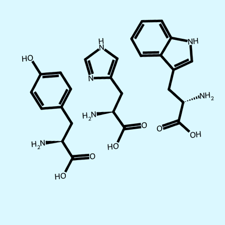 N[C@@H](Cc1c[nH]c2ccccc12)C(=O)O.N[C@@H](Cc1c[nH]cn1)C(=O)O.N[C@@H](Cc1ccc(O)cc1)C(=O)O